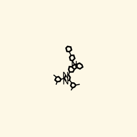 Cc1cc(C)cc(-c2cc(-c3ccc4c(c3)c3ccccc3n4-c3ccc(-c4ccccc4)cc3)nc(-c3cc(C)cc(C)c3)n2)c1